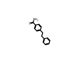 NC(=S)c1ccc(CCc2ccccc2)cc1